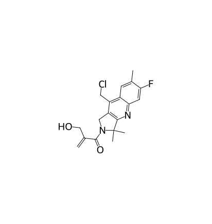 C=C(CO)C(=O)N1Cc2c(nc3cc(F)c(C)cc3c2CCl)C1(C)C